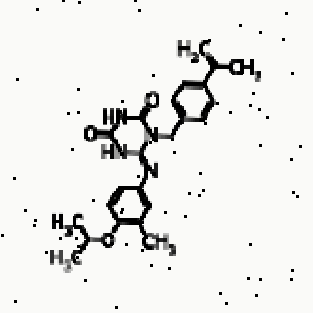 C=C(C)c1ccc(Cn2c(=O)[nH]c(=O)[nH]/c2=N\c2ccc(OC(C)C)c(C)c2)cc1